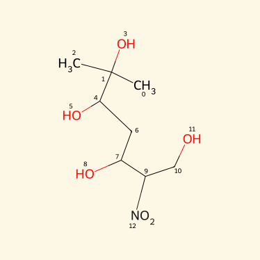 CC(C)(O)C(O)CC(O)C(CO)[N+](=O)[O-]